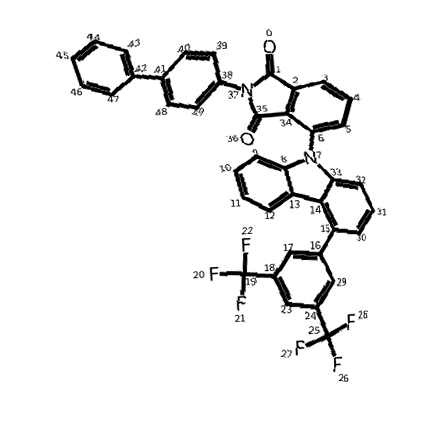 O=C1c2cccc(-n3c4ccccc4c4c(-c5cc(C(F)(F)F)cc(C(F)(F)F)c5)cccc43)c2C(=O)N1c1ccc(-c2ccccc2)cc1